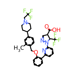 Cc1cc(C2CCN(CC(F)(F)F)CC2)ccc1COc1ccccc1-c1cccc(N2N=CC(C(=O)O)C2C(F)(F)F)n1